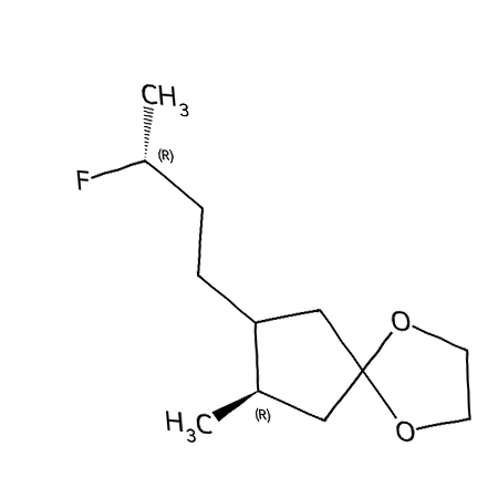 C[C@@H]1CC2(CC1CC[C@@H](C)F)OCCO2